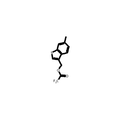 Cc1ccc2c(COC(=O)C(F)(F)F)csc2c1